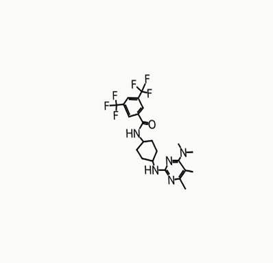 Cc1nc(NC2CCC(NC(=O)c3cc(C(F)(F)F)cc(C(F)(F)F)c3)CC2)nc(N(C)C)c1C